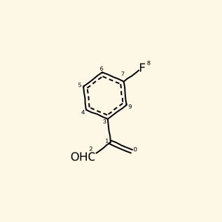 C=C(C=O)c1cccc(F)c1